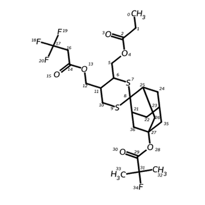 CCC(=O)OCC1SC2(SCC1COC(=O)CC(F)(F)F)C1CC3CC2CC(OC(=O)C(C)(C)F)(C3)C1